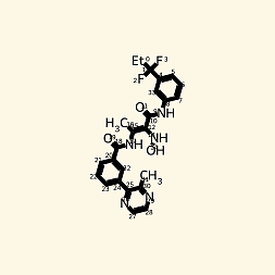 CCC(F)(F)c1cccc(NC(=O)/C(NO)=C(\C)NC(=O)c2cccc(-c3nccnc3C)c2)c1